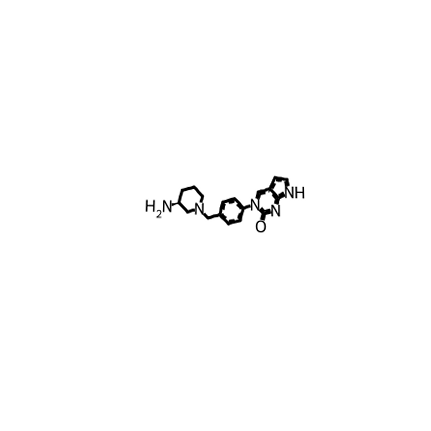 N[C@H]1CCCN(Cc2ccc(-n3cc4cc[nH]c4nc3=O)cc2)C1